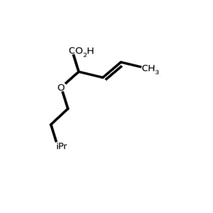 CC=CC(OCCC(C)C)C(=O)O